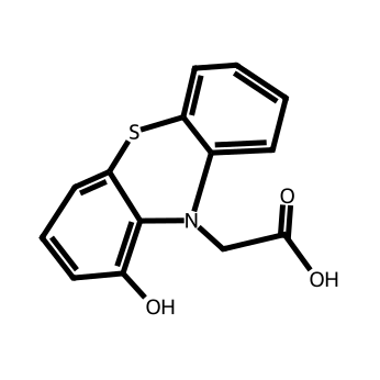 O=C(O)CN1c2ccccc2Sc2cccc(O)c21